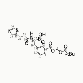 CC(C)(C)C(=O)OCOC(=O)c1cccc2c1OB(O)[C@@H](NC(=O)CCc1cncs1)C2